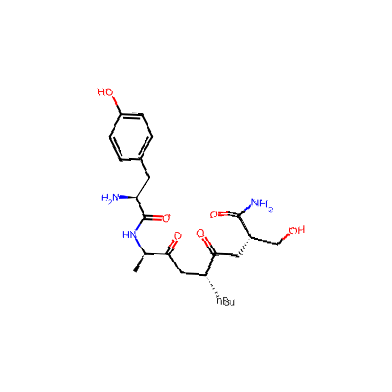 CCCC[C@H](CC(=O)[C@@H](C)NC(=O)[C@@H](N)Cc1ccc(O)cc1)C(=O)C[C@@H](CO)C(N)=O